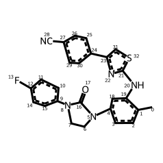 Cc1ccc(N2CCN(c3ccc(F)cc3)C2=O)cc1Nc1nc(-c2ccc(C#N)cc2)cs1